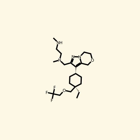 CC[C@]1(COCC(F)(F)F)CC[C@H](c2c(CN(C)CCNC)nn3c2COCC3)CC1